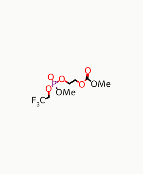 COC(=O)OCCOP(=O)(OC)OCC(F)(F)F